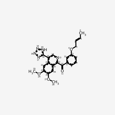 CC=CCOc1cccc(C(=O)c2ncc(-c3nnn[nH]3)c3cc(OC)c(OC)cc23)c1